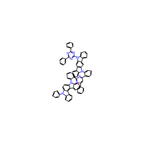 c1ccc(-c2cc(-c3ccccc3-n3c4ccccc4c4cc5c(cc43)c3ccccc3n5-c3nc(-c4ccccc4)nc(-c4ccccc4)n3)nc(-c3ccccc3-n3c4ccccc4c4c5c6ccccc6n(-c6ccccc6)c5ccc43)n2)cc1